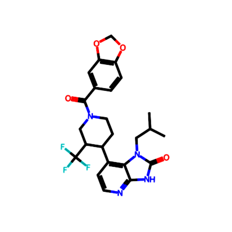 CC(C)Cn1c(=O)[nH]c2nccc(C3CCN(C(=O)c4ccc5c(c4)OCO5)CC3C(F)(F)F)c21